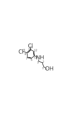 OCCCNc1ccc(Cl)c(Cl)c1